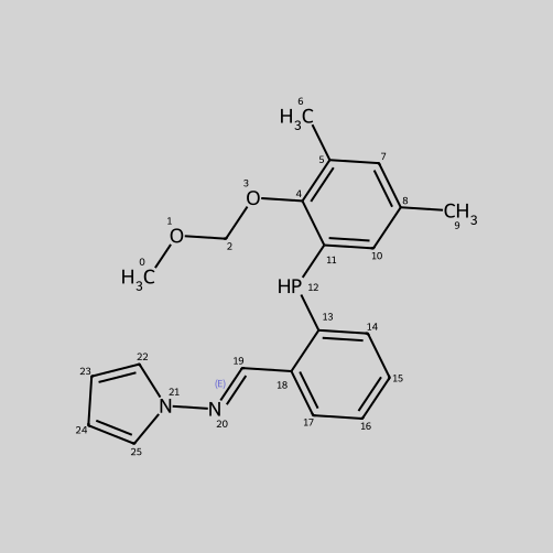 COCOc1c(C)cc(C)cc1Pc1ccccc1/C=N/n1cccc1